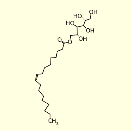 CCCCCCCC/C=C\CCCCCCCC(=O)OC[C@@H](O)[C@@H](O)[C@H](O)[C@H](O)CO